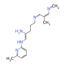 C=N/C=C(C)\C=N/CCC/C(N)=C/Nc1cccc(C)n1